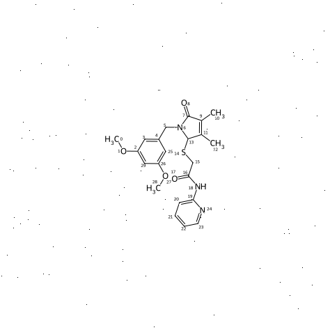 COc1cc(CN2C(=O)C(C)=C(C)C2SCC(=O)Nc2ccccn2)cc(OC)c1